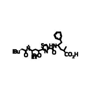 CCOC(CC(C(C)C)N(C)C(=O)C[C@@H](C)CC)c1nc(C(=O)NC(Cc2ccccc2)CC(C)C(=O)O)cs1